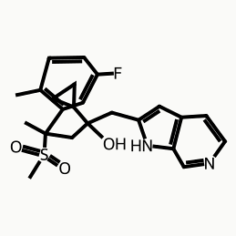 Cc1ccc(F)cc1C(C)(CC(O)(Cc1cc2ccncc2[nH]1)C1CC1)S(C)(=O)=O